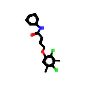 Cc1cc(OC/C=C/C(=O)Nc2ccccc2)c(Cl)c(C)c1Cl